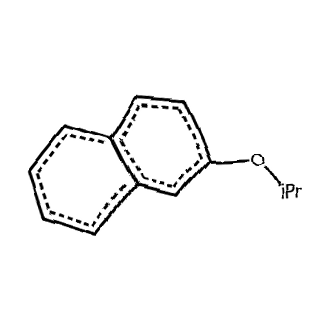 [CH2]C(C)Oc1ccc2ccccc2c1